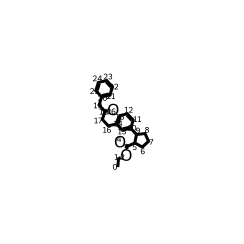 CCOC(=O)C1CCCC1c1ccc2c(c1)CCC(Cc1ccccc1)O2